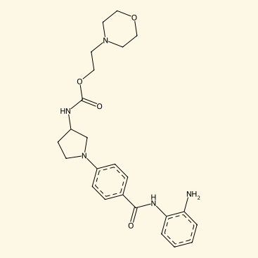 Nc1ccccc1NC(=O)c1ccc(N2CCC(NC(=O)OCCN3CCOCC3)C2)cc1